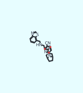 N#Cc1ccc(N2C3CCC2CN(C(=O)CCNCc2cccc4ncsc24)C3)nc1